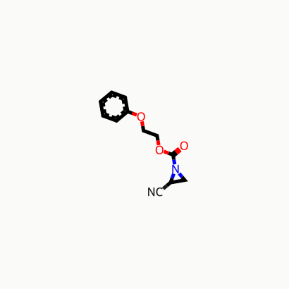 N#CC1CN1C(=O)OCCOc1ccccc1